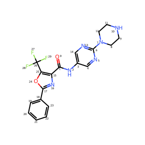 O=C(Nc1cnc(N2CCNCC2)nc1)c1nc(-c2ccccc2)oc1C(F)(F)F